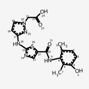 Cc1ccc(O)c(C)c1NC(=O)c1cnc(Nc2ccn(CC(=O)O)n2)s1